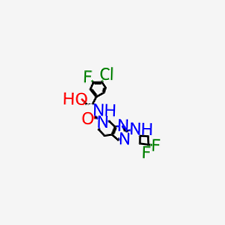 O=C(N[C@H](CO)c1ccc(Cl)c(F)c1)N1CCc2cnc(NC3CC(F)(F)C3)nc2C1